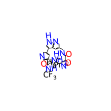 Cc1ncoc1C(=O)NCc1cnc2[nH]cc(-c3cncc([C@@](N)(C(=O)NCC(F)(F)F)C(C)C)c3)c2c1